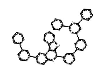 c1ccc(-c2cccc(-c3ccc4nc(-c5cccc(-c6cccc(-c7cc(-c8ccccc8)nc(-c8ccccc8)n7)c6)c5)c5oc6ccccc6c5c4c3)c2)cc1